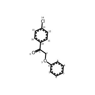 O=C(COc1ccccc1)c1ccc(Cl)cc1